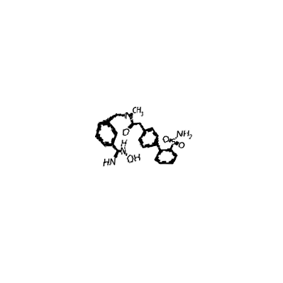 CN(Cc1cccc(C(=N)NO)c1)C(=O)Cc1ccc(-c2ccccc2S(N)(=O)=O)cc1